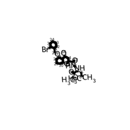 COC(=O)[C@H](CC(C)C)NNC(=O)c1cc(=O)c2c(OCc3ccccc3Br)cccc2o1